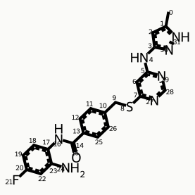 Cc1cc(Nc2cc(SCc3ccc(C(=O)Nc4ccc(F)cc4N)cc3)ncn2)n[nH]1